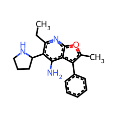 CCc1nc2oc(C)c(-c3ccccc3)c2c(N)c1C1CCCN1